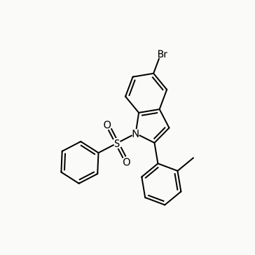 Cc1ccccc1-c1cc2cc(Br)ccc2n1S(=O)(=O)c1ccccc1